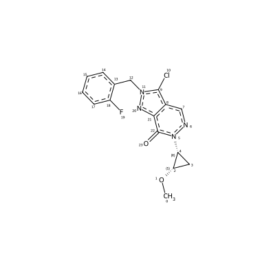 CO[C@H]1C[C@H]1n1ncc2c(Cl)n(Cc3ccccc3F)nc2c1=O